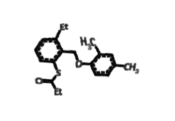 CCC(=O)Sc1cccc(CC)c1COc1ccc(C)cc1C